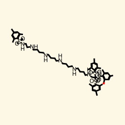 Cc1cc(C)c(S(=O)(=O)NCCNCCCCNCCCCNCCCCNCCCCNCC(S(=O)(=O)c2c(C)cc(C)cc2C)(S(=O)(=O)c2c(C)cc(C)cc2C)S(=O)(=O)c2c(C)cc(C)cc2C)c(C)c1